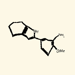 COc1ccc(-c2cc3c([nH]2)CCCC3)cc1N